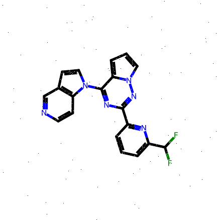 FC(F)c1cccc(-c2nc(-n3ccc4cnccc43)c3cccn3n2)n1